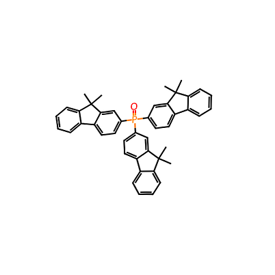 CC1(C)c2ccccc2-c2ccc(P(=O)(c3ccc4c(c3)C(C)(C)c3ccccc3-4)c3ccc4c(c3)C(C)(C)c3ccccc3-4)cc21